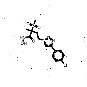 CC(CCn1cc(-c2ccc(Cl)cc2)nn1)(C(=O)NO)S(C)(=O)=O